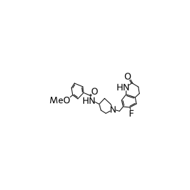 COc1cccc(C(=O)NC2CCN(Cc3cc4c(cc3F)CCC(=O)N4)CC2)c1